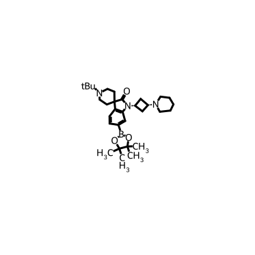 CC(C)(C)N1CCC2(CC1)C(=O)N([C@H]1C[C@@H](N3CCCCC3)C1)c1cc(B3OC(C)(C)C(C)(C)O3)ccc12